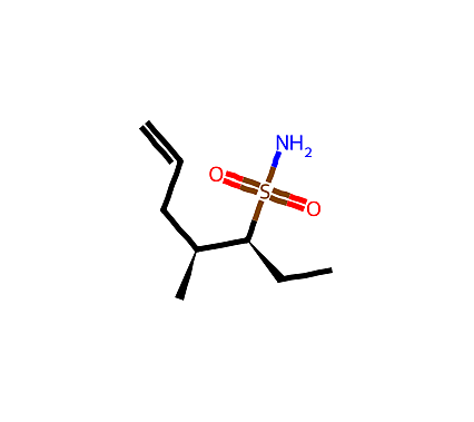 C=CC[C@H](C)[C@H](CC)S(N)(=O)=O